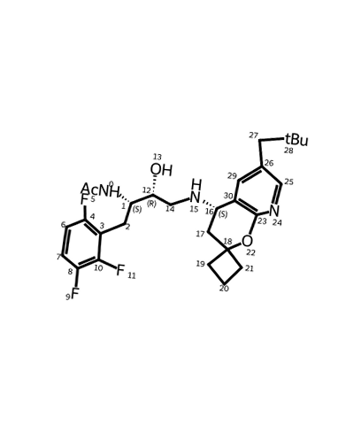 CC(=O)N[C@@H](Cc1c(F)ccc(F)c1F)[C@H](O)CN[C@H]1CC2(CCC2)Oc2ncc(CC(C)(C)C)cc21